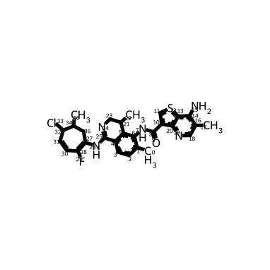 Cc1ccc2c(c1NC(=O)c1csc3c(N)c(C)cnc13)C(C)CN=C2NC1=C(F)C=CC(Cl)C(C)C1